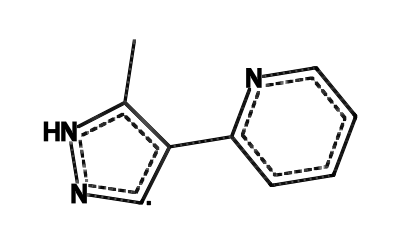 Cc1[nH]n[c]c1-c1ccccn1